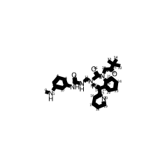 CNc1cccc(NC(=O)NCN2N=C(c3ccccn3)c3ccccc3N(CC(=O)C(C)(C)C)C2=O)c1